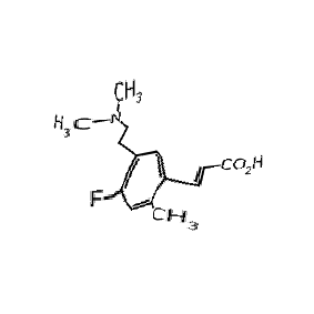 Cc1cc(F)c(CCN(C)C)cc1C=CC(=O)O